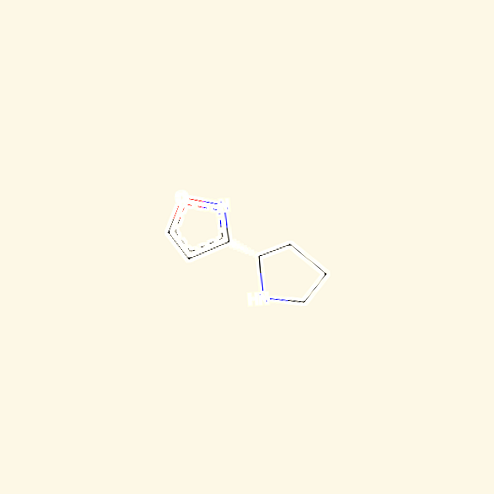 c1cc([C@@H]2CCCN2)no1